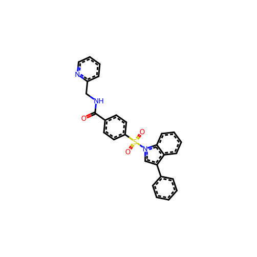 O=C(NCc1ccccn1)c1ccc(S(=O)(=O)n2cc(-c3ccccc3)c3ccccc32)cc1